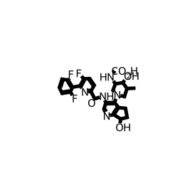 CC1CN(c2c(NC(=O)c3ccc(F)c(-c4c(F)cccc4F)n3)cnc3c2CCC3O)CC(NC(=O)O)C1O